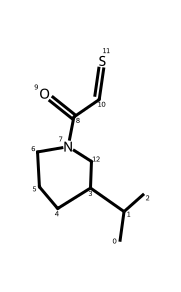 CC(C)C1CCCN(C(=O)C=S)C1